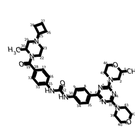 CC1CN(c2nc(-c3ccc(NC(=O)Nc4ccc(C(=O)N5CCN(C6CCC6)CC5C)cc4)cc3)nc(N3CCOCC3)n2)CCO1